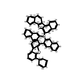 c1ccc(-c2cccc3c2oc2c(-c4cc5ccccc5cc4N(c4ccc5ccccc5c4)c4cc5ccccc5c5c4sc4c6ccccc6ccc45)cccc23)cc1